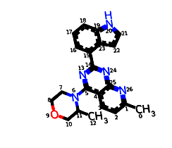 Cc1ccc2c(N3CCOCC3C)nc(-c3cccc4[nH]ccc34)nc2n1